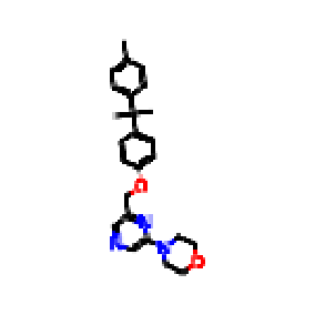 Cc1ccc(C(C)(C)c2ccc(OCc3cncc(N4CCOCC4)n3)cc2)cc1